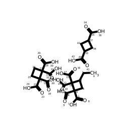 CCC1CC(C(=O)O)(C(=O)O)C1(C(=O)O)C(=O)O.O=C(O)C1(C(=O)O)CCC1(C(=O)O)C(=O)O.O=C(O)C1CC(C(=O)O)C1